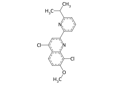 COc1ccc2c(Cl)cc(-c3cccc(C(C)C)n3)nc2c1Cl